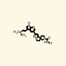 CCNC(=O)N1CCC2(CCn3nc(-c4cnc5[nH]cc(/C=C/P(C)C)c5c4)cc32)C1